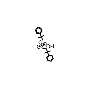 CC(C)(COS(=O)(=O)CC(O)C(C)(C)c1ccccc1)c1ccccc1